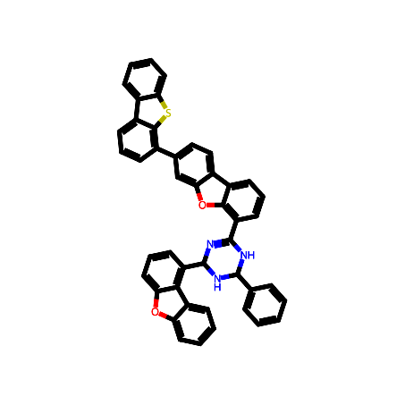 c1ccc(C2NC(c3cccc4c3oc3cc(-c5cccc6c5sc5ccccc56)ccc34)=NC(c3cccc4oc5ccccc5c34)N2)cc1